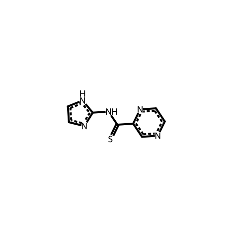 S=C(Nc1ncc[nH]1)c1cnccn1